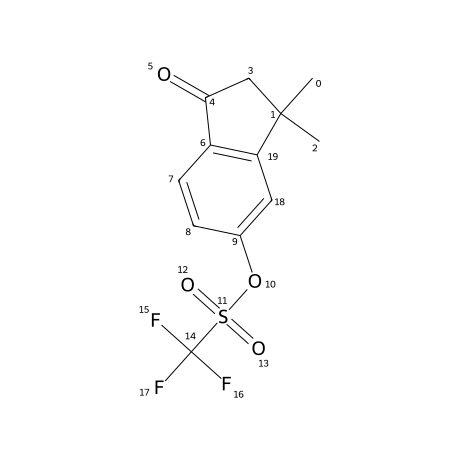 CC1(C)CC(=O)c2ccc(OS(=O)(=O)C(F)(F)F)cc21